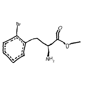 COC(=O)[C@@H](N)Cc1ccccc1Br